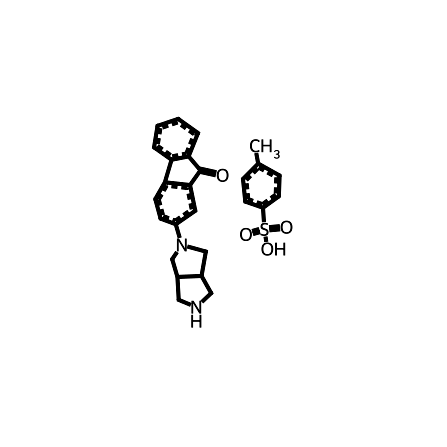 Cc1ccc(S(=O)(=O)O)cc1.O=C1c2ccccc2-c2ccc(N3CC4CNCC4C3)cc21